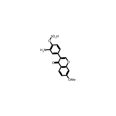 COc1ccc2c(=O)c(-c3ccc(OS(=O)(=O)O)c(N)c3)coc2c1